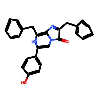 O=c1c(Cc2ccccc2)nc2c(Cc3ccccc3)[nH]c(-c3ccc(O)cc3)cn1-2